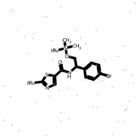 CC(C)(C)c1ncc(C(=O)NC(CO[Si](C)(C)C(C)(C)C)c2ccc(Br)cc2)s1